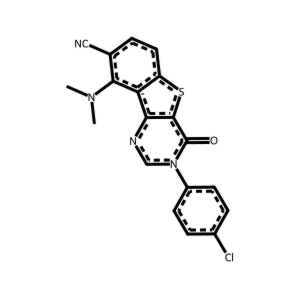 CN(C)c1c(C#N)ccc2sc3c(=O)n(-c4ccc(Cl)cc4)cnc3c12